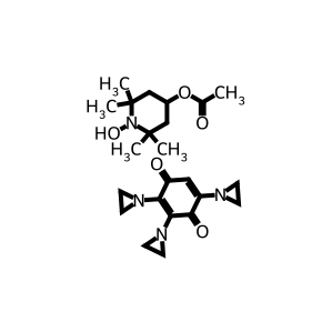 CC(=O)OC1CC(C)(C)N(O)C(C)(C)C1.O=C1C=C(N2CC2)C(=O)C(N2CC2)=C1N1CC1